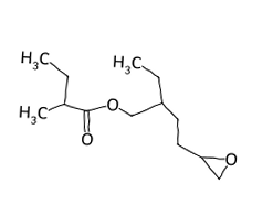 CCC(CCC1CO1)COC(=O)C(C)CC